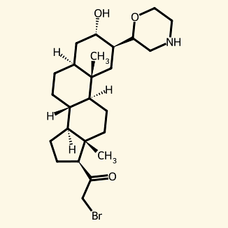 C[C@]12C[C@H](C3CNCCO3)[C@@H](O)C[C@@H]1CC[C@@H]1[C@@H]2CC[C@]2(C)[C@@H](C(=O)CBr)CC[C@@H]12